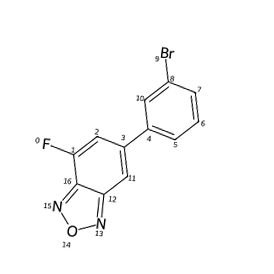 Fc1cc(-c2cccc(Br)c2)cc2nonc12